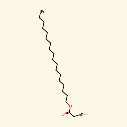 CCCCCCCCCCCC(=O)OCCCCCCCCCCCCCCCCCC(C)C